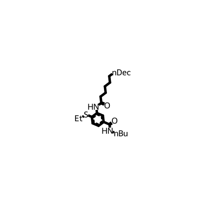 CCCCCCCCCCCCCCCC(=O)Nc1cc(C(=O)NCCCC)ccc1SCC